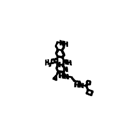 COc1cc2c(cc1Nc1ncc(C3CC3)c(NCCCNC(=O)C3CCC3)n1)CNCC2